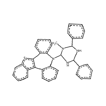 CN1C(c2ccccc2)NC(c2ccccc2)NC1N1c2ccccc2-c2sc3ccccc3c2-c2ccccc21